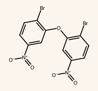 O=[N+]([O-])c1ccc(Br)c(Oc2cc([N+](=O)[O-])ccc2Br)c1